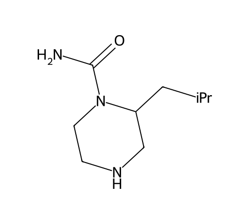 CC(C)CC1CNCCN1C(N)=O